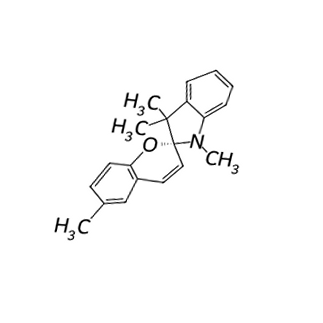 Cc1ccc2c(c1)C=C[C@]1(O2)N(C)c2ccccc2C1(C)C